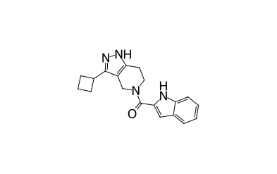 O=C(c1cc2ccccc2[nH]1)N1CCc2[nH]nc(C3CCC3)c2C1